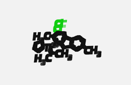 C[C](C)=[Ti+2]([C]1=CC=CC1)[c]1c(C)ccc2c1Cc1cc(C)ccc1-2.[Cl-].[Cl-]